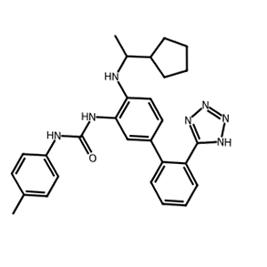 Cc1ccc(NC(=O)Nc2cc(-c3ccccc3-c3nnn[nH]3)ccc2NC(C)C2CCCC2)cc1